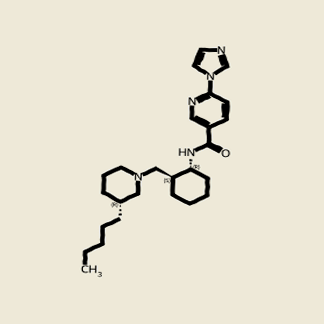 CCCCC[C@@H]1CCCN(C[C@@H]2CCCC[C@H]2NC(=O)c2ccc(-n3ccnc3)nc2)C1